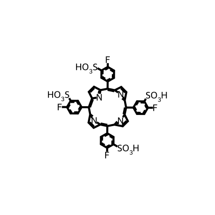 O=S(=O)(O)c1cc(C2=C3C=CC(=N3)C(c3ccc(F)c(S(=O)(=O)O)c3)=C3C=CC(=N3)C(c3ccc(F)c(S(=O)(=O)O)c3)=C3C=CC(=N3)C(c3ccc(F)c(S(=O)(=O)O)c3)=C3C=CC2=N3)ccc1F